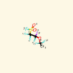 O=S(=O)(F)C(F)(F)C(F)(I)OC(F)(F)C(F)(F)F